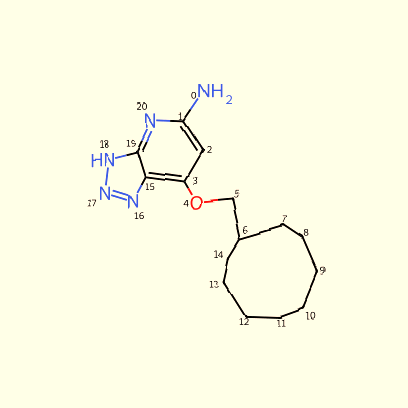 Nc1cc(OCC2CCCCCCCC2)c2nn[nH]c2n1